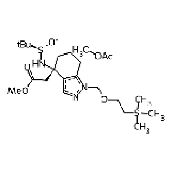 COC(=O)C[C@@]1(N[S@+]([O-])C(C)(C)C)CCCc2c1cnn2COCC[Si](C)(C)C.COC(C)=O